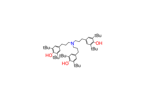 CC(C)(C)c1cc(CCCN(CCCc2cc(C(C)(C)C)c(O)c(C(C)(C)C)c2)CCCc2cc(C(C)(C)C)c(O)c(C(C)(C)C)c2)cc(C(C)(C)C)c1O